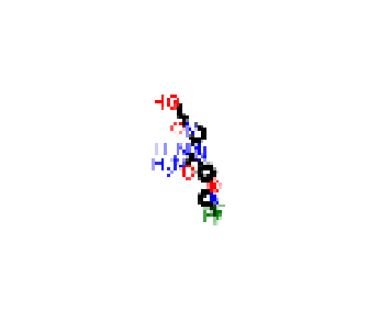 NC(=O)c1c(-c2ccc(Oc3cccc(C(F)(F)F)n3)cc2)nn([C@@H]2CCCN(C(=O)C=CCO)C2)c1N